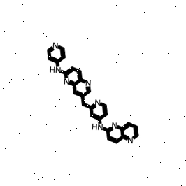 c1cnc2ccc(Nc3ccnc(Cc4cnc5ccc(Nc6ccncc6)nc5c4)c3)nc2c1